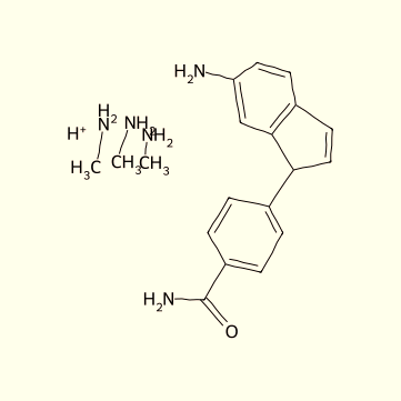 CN.CN.CN.NC(=O)c1ccc(C2C=Cc3ccc(N)cc32)cc1.[H+]